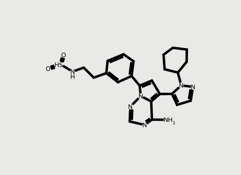 Nc1ncnn2c(-c3cccc(CCN[SH](=O)=O)c3)cc(-c3ccnn3C3CCCCC3)c12